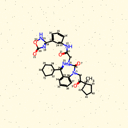 CC1(C(=O)CN2C(=O)N(CC(=O)Nc3cccc(-c4nc(=O)o[nH]4)c3)N=C(C3CCCCC3)c3ccccc32)CCCC1